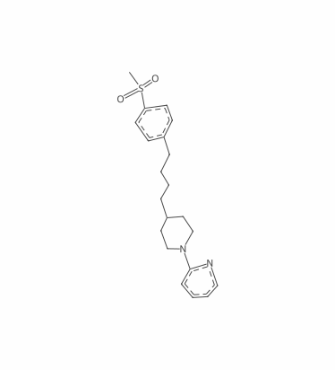 CS(=O)(=O)c1ccc(CCCCC2CCN(c3ccccn3)CC2)cc1